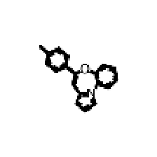 Cc1ccc(C2=Cc3cccn3-c3ccccc3O2)cc1